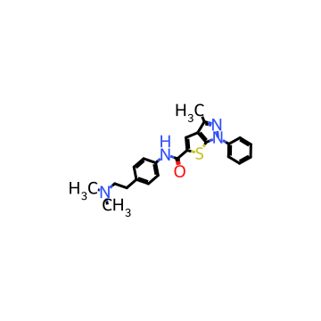 Cc1nn(-c2ccccc2)c2sc(C(=O)Nc3ccc(CCN(C)C)cc3)cc12